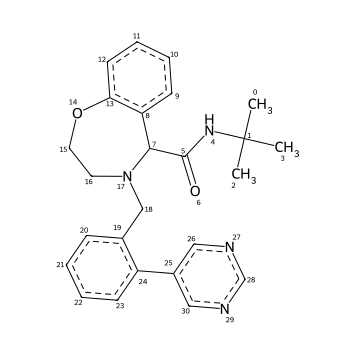 CC(C)(C)NC(=O)C1c2ccccc2OCCN1Cc1ccccc1-c1cncnc1